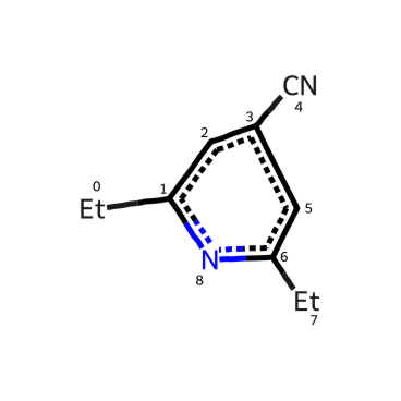 CCc1cc(C#N)cc(CC)n1